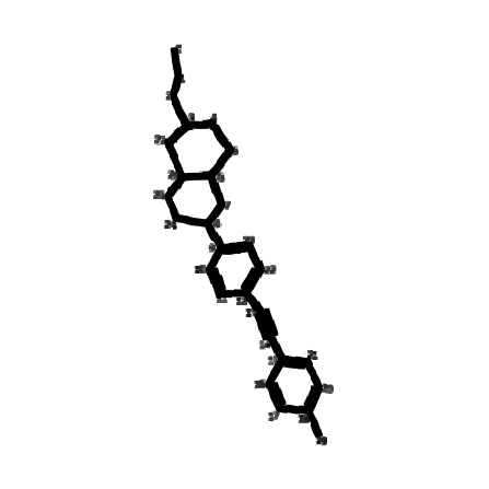 CCCC1CCC2CC(c3ccc(C#Cc4ccc(C)cc4)cc3)CCC2C1